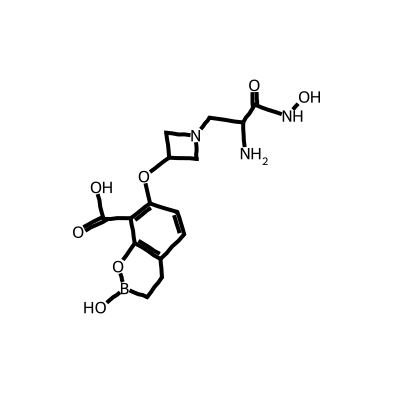 NC(CN1CC(Oc2ccc3c(c2C(=O)O)OB(O)CC3)C1)C(=O)NO